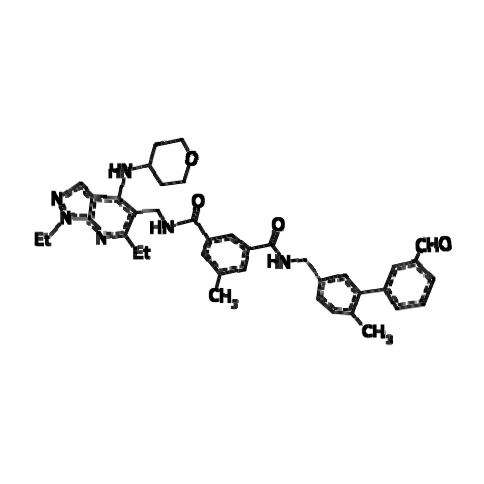 CCc1nc2c(cnn2CC)c(NC2CCOCC2)c1CNC(=O)c1cc(C)cc(C(=O)NCc2ccc(C)c(-c3cccc(C=O)c3)c2)c1